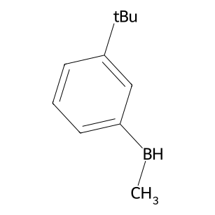 CBc1cccc(C(C)(C)C)c1